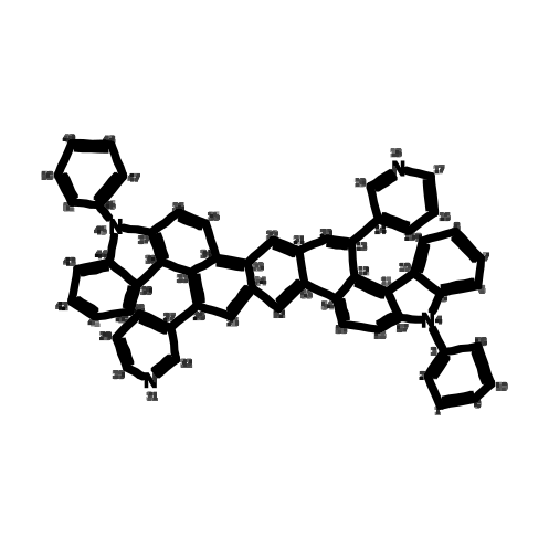 c1ccc(-n2c3ccccc3c3c4c(-c5cccnc5)cc5cc6c(cc(-c7cccnc7)c7c6ccc6c7c7ccccc7n6-c6ccccc6)cc5c4ccc32)cc1